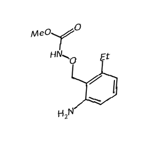 CCc1cccc(N)c1CONC(=O)OC